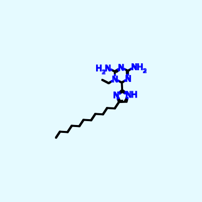 CCCCCCCCCCCc1c[nH]c(C2N=C(N)N=C(N)N2CC)n1